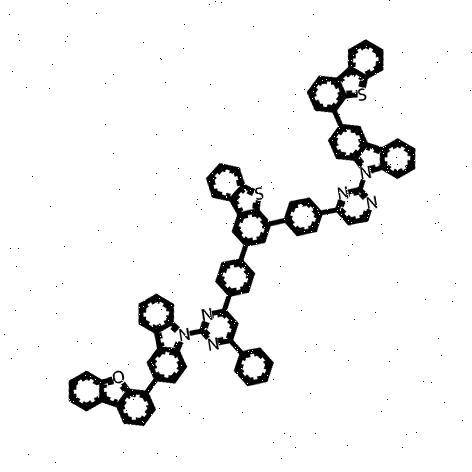 c1ccc(-c2cc(-c3ccc(-c4cc(-c5ccc(-c6ccnc(-n7c8ccccc8c8cc(-c9cccc%10c9sc9ccccc9%10)ccc87)n6)cc5)c5sc6ccccc6c5c4)cc3)nc(-n3c4ccccc4c4cc(-c5cccc6c5oc5ccccc56)ccc43)n2)cc1